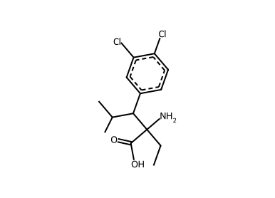 CCC(N)(C(=O)O)C(c1ccc(Cl)c(Cl)c1)C(C)C